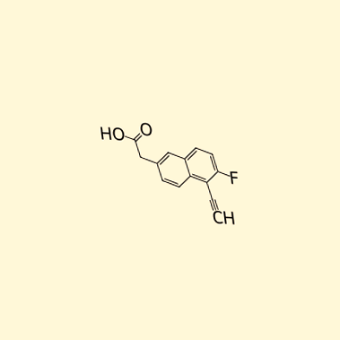 C#Cc1c(F)ccc2cc(CC(=O)O)ccc12